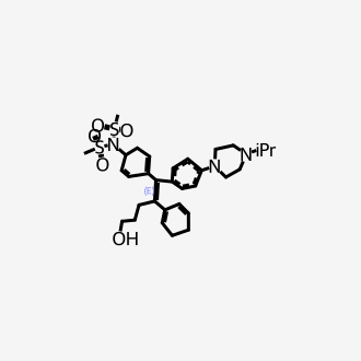 CC(C)N1CCN(c2ccc(/C(C3=CCC(N(S(C)(=O)=O)S(C)(=O)=O)C=C3)=C(/CCCO)C3=CCCC=C3)cc2)CC1